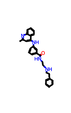 Cc1cc(Nc2cccc(C(=O)NCCNCCc3ccccc3)c2)c2ccccc2n1